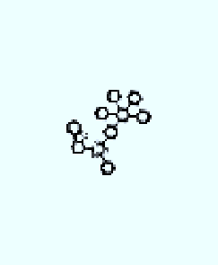 c1ccc(-c2nc(-c3ccc(-c4cc(-c5ccccc5)c(-c5ccccc5)c(-c5ccccc5)c4-c4ccccc4)cc3)nc(-c3cccc4c3oc3ccccc34)n2)cc1